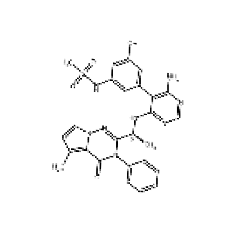 Cc1ccn2nc([C@H](C)Nc3ncnc(N)c3-c3cc(O)cc(NS(C)(=O)=O)c3)n(-c3ccccc3)c(=O)c12